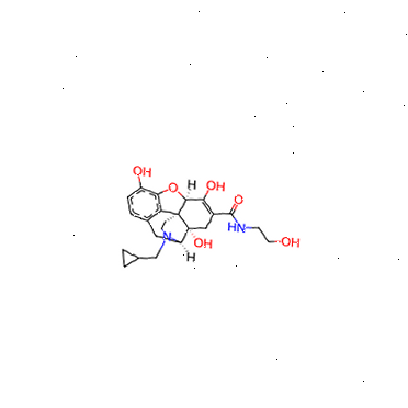 O=C(NCCO)C1=C(O)[C@@H]2Oc3c(O)ccc4c3[C@@]23CCN(CC2CC2)[C@H](C4)[C@]3(O)C1